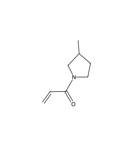 C=CC(=O)N1CCC(C)C1